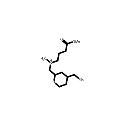 CNC(=O)CCC[SH](C)CC1CC(CC(C)(C)C)CCO1